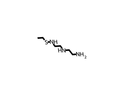 CCSNCCNCCN